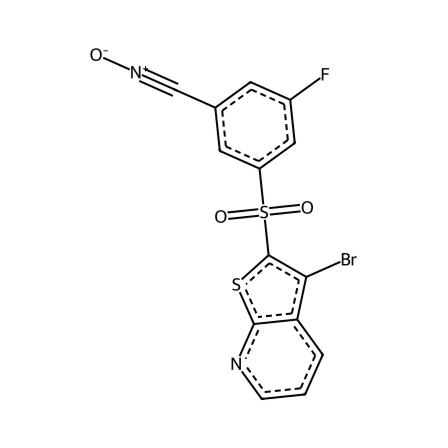 O=S(=O)(c1cc(F)cc(C#[N+][O-])c1)c1sc2ncccc2c1Br